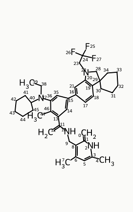 C=C1NC(C)=CC(C)=C1CNC(=C)c1cc(-c2ccc3c(c2)N(CC(F)(F)F)CC32CCCCC2)cc(N(CC)C2CCCCC2)c1C